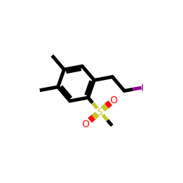 Cc1cc(CCI)c(S(C)(=O)=O)cc1C